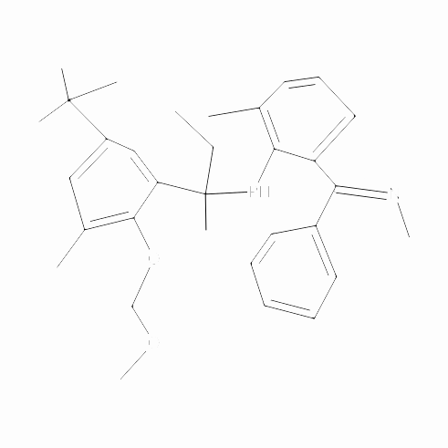 CCC(C)(Pc1c(C)cccc1/C(=N/C)c1ccccc1)c1cc(C(C)(C)C)cc(C)c1OCOC